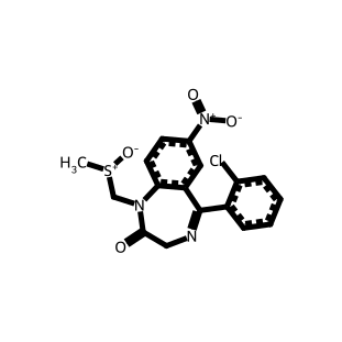 C[S+]([O-])CN1C(=O)CN=C(c2ccccc2Cl)c2cc([N+](=O)[O-])ccc21